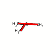 CCCCCCCCCCCCCCCCCCCC(=O)OCCC(CCCCCCCCCCCC)CCCCCCCCCCCCCC